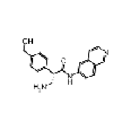 NC[C@@H](C(=O)Nc1ccc2cnccc2c1)c1ccc(CO)cc1